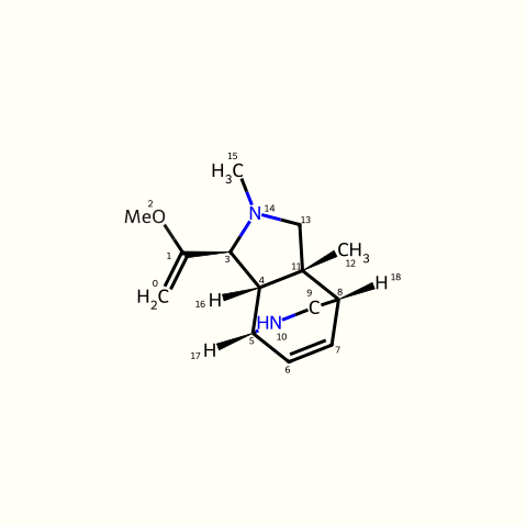 C=C(OC)[C@@H]1[C@H]2[C@H]3C=C[C@H](CN3)[C@@]2(C)CN1C